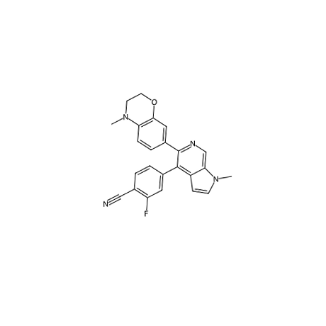 CN1CCOc2cc(-c3ncc4c(ccn4C)c3-c3ccc(C#N)c(F)c3)ccc21